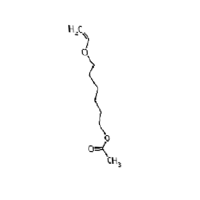 C=COCCCCCCOC(C)=O